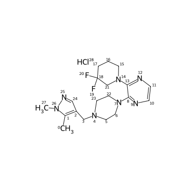 Cc1c(CN2CCN(c3nccnc3N3CCCC(F)(F)C3)CC2)cnn1C.Cl